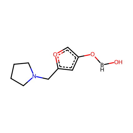 OBOc1coc(CN2CCCC2)c1